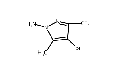 Cc1c(Br)c(C(F)(F)F)nn1N